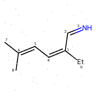 CC/C(C=N)=C/C=C(C)C